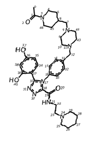 CC(=O)N1CCC(CN2CCN(Cc3ccc(-n4c(C(=O)NCCN5CCCCC5)nnc4-c4ccc(O)cc4O)cc3)CC2)CC1